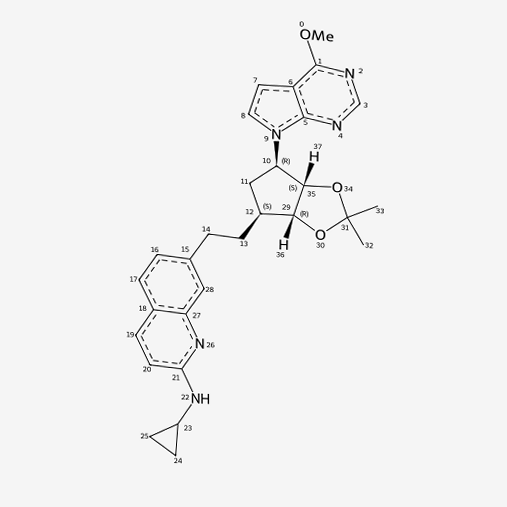 COc1ncnc2c1ccn2[C@@H]1C[C@H](CCc2ccc3ccc(NC4CC4)nc3c2)[C@H]2OC(C)(C)O[C@H]21